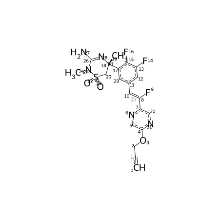 C#CCOc1cnc(/C(F)=C/c2cc(F)c(F)c([C@]3(C)CS(=O)(=O)N(C)C(N)=N3)c2)cn1